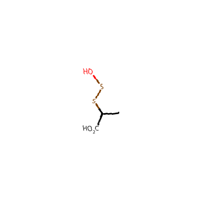 CC(SSO)C(=O)O